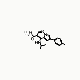 Cc1ccc(-c2cc3c(NC(C)C)c(C(N)=O)cnn3c2)cc1